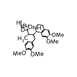 COc1ccc(CC(C(C)C(=O)OC(C)(C)C)[C@H]2NCCc3cc(OC)c(OC)cc32)cc1OC.I